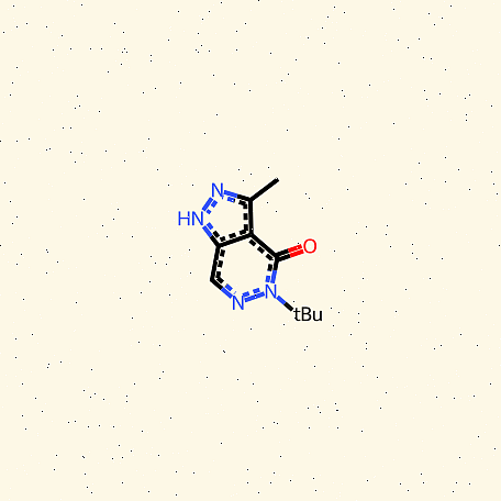 Cc1n[nH]c2cnn(C(C)(C)C)c(=O)c12